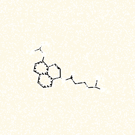 CC(C)CCCC(=O)OC1C=Cc2c(OC(C)C)ccc3cccc1c23